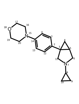 c1cc(C23CC2CN(C2CC2)C3)ccc1N1CCOCC1